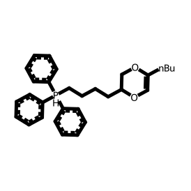 CCCCC1=COC(CCCC[PH](c2ccccc2)(c2ccccc2)c2ccccc2)CO1